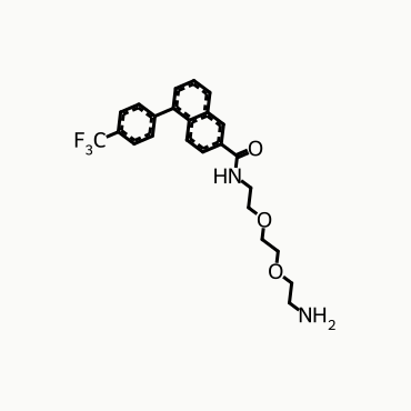 NCCOCCOCCNC(=O)c1ccc2c(-c3ccc(C(F)(F)F)cc3)cccc2c1